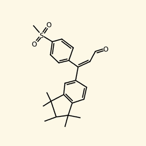 CC1C(C)(C)c2ccc(C(=CC=O)c3ccc(S(C)(=O)=O)cc3)cc2C1(C)C